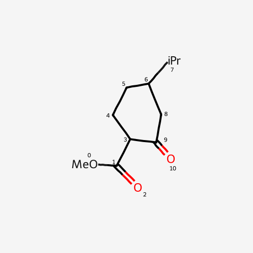 COC(=O)C1CCC(C(C)C)CC1=O